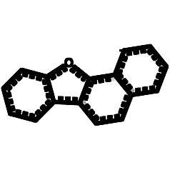 [c]1cccc2ccc3c4ccccc4oc3c12